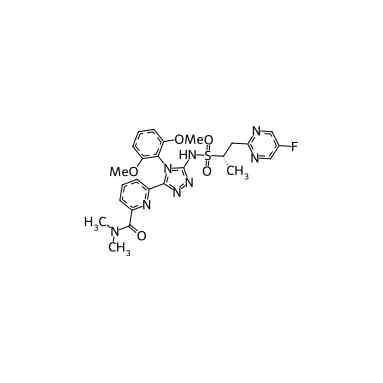 COc1cccc(OC)c1-n1c(NS(=O)(=O)[C@@H](C)Cc2ncc(F)cn2)nnc1-c1cccc(C(=O)N(C)C)n1